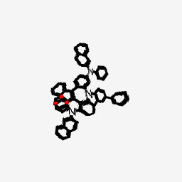 c1ccc(C2=C(c3ccccc3)c3c(N(c4ccccc4)c4ccc5ccccc5c4)ccc4c5cc(-c6ccccc6)ccc5n(c34)-c3cc(N(c4ccccc4)c4ccc5ccccc5c4)ccc32)cc1